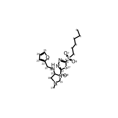 CCCCCCS(=O)(=O)c1nnc([N+]2([O-])CN(C)CC2NCc2ccco2)s1